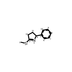 CSC1=NC(c2ccccc2)CC1